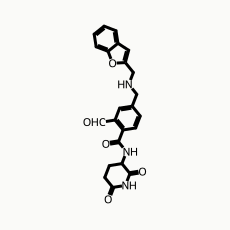 O=Cc1cc(CNCc2cc3ccccc3o2)ccc1C(=O)NC1CCC(=O)NC1=O